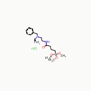 C=CN(CCNC(=O)CCC[Si](OC)(OC)OC)Cc1ccccc1.Cl